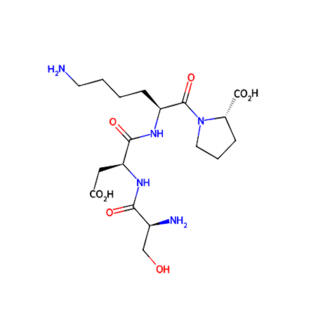 NCCCC[C@H](NC(=O)[C@H](CC(=O)O)NC(=O)[C@@H](N)CO)C(=O)N1CCC[C@H]1C(=O)O